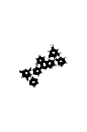 Cc1cc(C)c(N(c2ccccc2)c2ccc3c(c2)Sc2cccc4c2c-3cc2ccc(N(c3ccccc3)c3c(C)cc(C)cc3C)cc24)c(C)c1